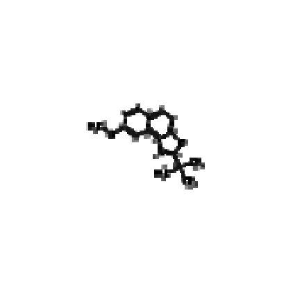 COc1ccc2ccc3oc(C(C)(C)C)nc3c2c1